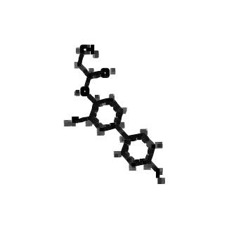 CCC(=O)Oc1ccc(-c2ccc(F)cc2)cc1F